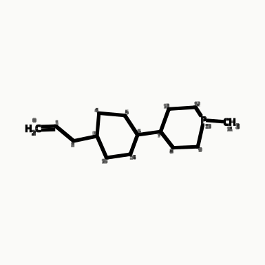 C=CCC1CCC(C2CCP(C)CC2)CC1